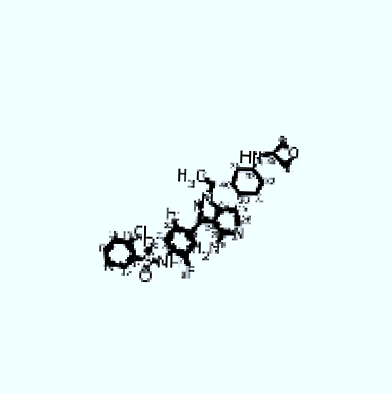 CCn1nc(-c2cc(F)c(NS(=O)(=O)c3ccccc3Cl)cc2F)c2c(N)ncc([C@H]3CC[C@H](NC4COC4)CC3)c21